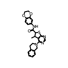 CC1c2c(ncnc2N2CCc3ccccc3C2)SC1C(=O)Nc1ccc2c(c1)OCCO2